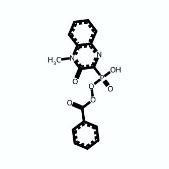 Cn1c(=O)c(P(=O)(O)OOC(=O)c2ccccc2)nc2ccccc21